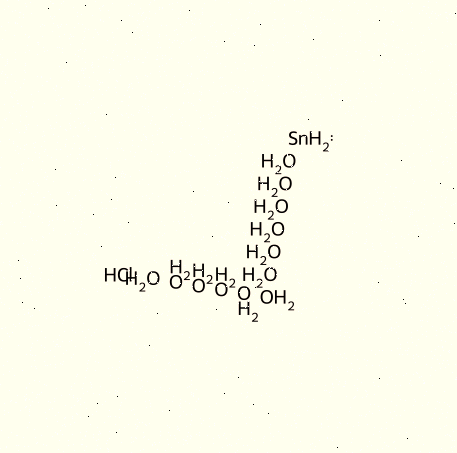 Cl.O.O.O.O.O.O.O.O.O.O.O.O.[SnH2]